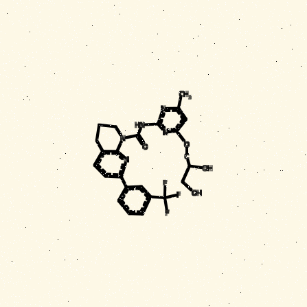 Cc1cc(OCC(O)CO)nc(NC(=O)N2CCCc3ccc(-c4cccc(C(F)(F)F)c4)nc32)n1